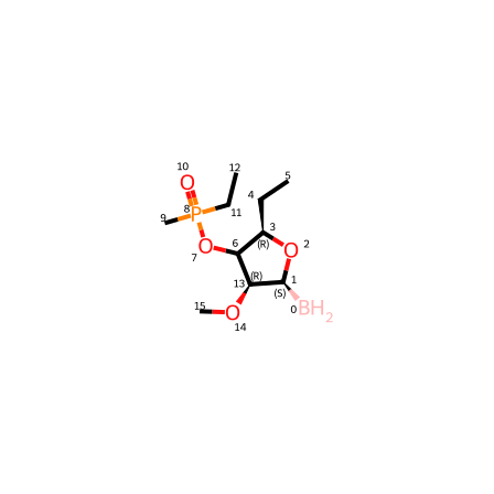 B[C@@H]1O[C@H](CC)C(OP(C)(=O)CC)[C@@H]1OC